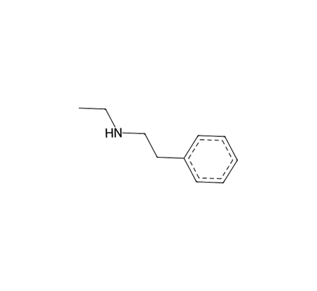 CCNCCc1ccccc1